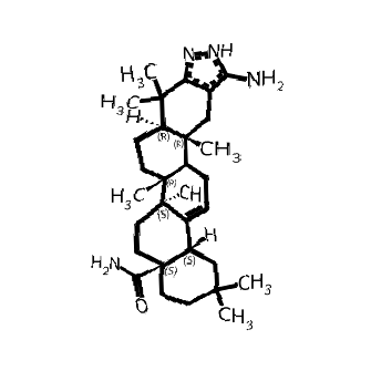 CC1(C)CC[C@]2(C(N)=O)CC[C@]3(C)C(=CCC4[C@@]5(C)Cc6c(n[nH]c6N)C(C)(C)[C@@H]5CC[C@]43C)[C@@H]2C1